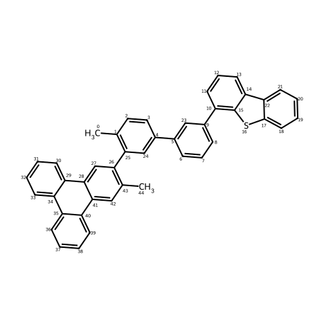 Cc1ccc(-c2cccc(-c3cccc4c3sc3ccccc34)c2)cc1-c1cc2c3ccccc3c3ccccc3c2cc1C